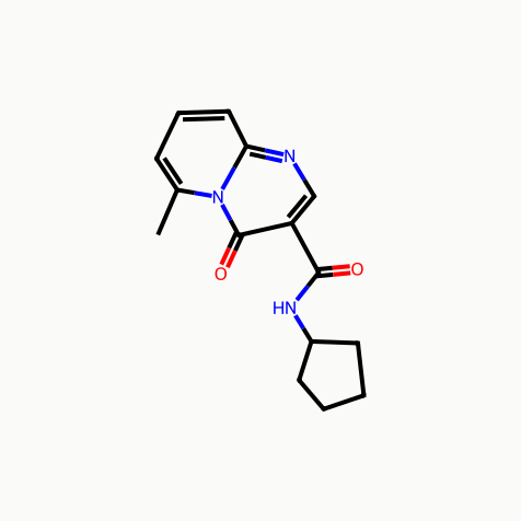 Cc1cccc2ncc(C(=O)NC3CCCC3)c(=O)n12